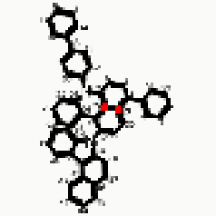 c1ccc(-c2ccc(N(c3ccc(-c4ccccc4)cc3)c3ccccc3-c3ccccc3-n3c4ccccc4c4c5ccccc5ccc43)cc2)cc1